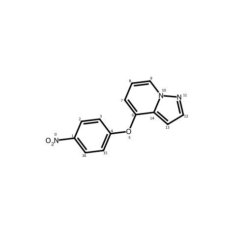 O=[N+]([O-])c1ccc(Oc2cccn3nccc23)cc1